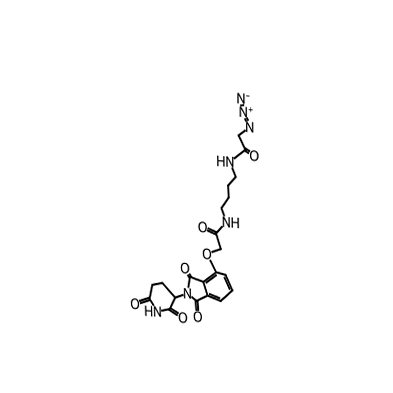 [N-]=[N+]=NCC(=O)NCCCCNC(=O)COc1cccc2c1C(=O)N(C1CCC(=O)NC1=O)C2=O